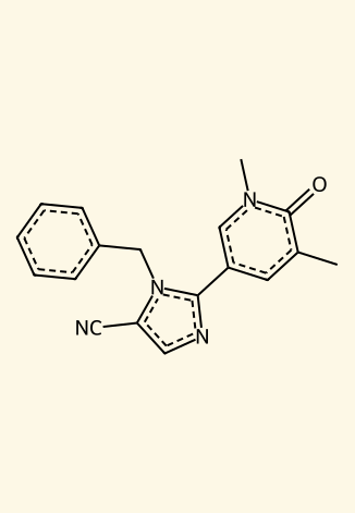 Cc1cc(-c2ncc(C#N)n2Cc2ccccc2)cn(C)c1=O